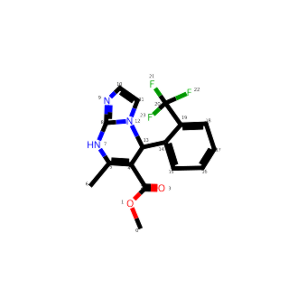 COC(=O)C1=C(C)Nc2nccn2C1c1ccccc1C(F)(F)F